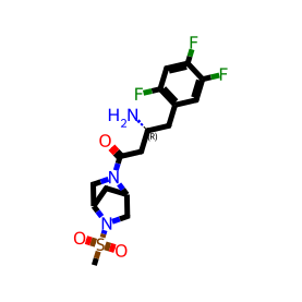 CS(=O)(=O)N1CC2CC1CN2C(=O)C[C@H](N)Cc1cc(F)c(F)cc1F